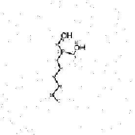 CCCCCCP(CO)CO